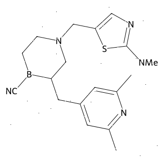 CNc1ncc(CN2CCB(C#N)C(Cc3cc(C)nc(C)c3)C2)s1